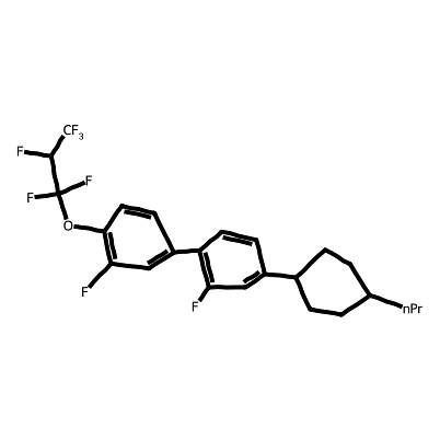 CCCC1CCC(c2ccc(-c3ccc(OC(F)(F)C(F)C(F)(F)F)c(F)c3)c(F)c2)CC1